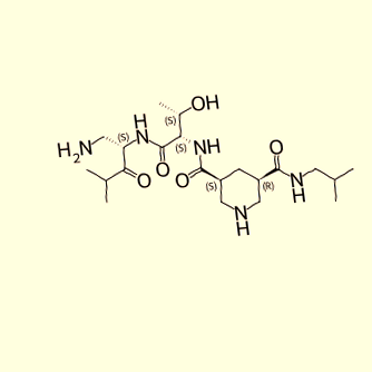 CC(C)CNC(=O)[C@H]1CNC[C@@H](C(=O)N[C@H](C(=O)N[C@@H](CN)C(=O)C(C)C)[C@H](C)O)C1